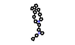 c1ccc(-c2ccc(-n3c4ccccc4c4cc(-c5ccc6c(c5)c5ccccc5n6-c5cccc(-c6ccc(-c7cccc(C8(c9ccc(-c%10ccccc%10)cc9)c9ccccc9-c9ccccc98)c7)cc6)c5)ccc43)cc2)cc1